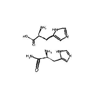 NC(=O)[C@@H](N)Cc1cnc[nH]1.N[C@@H](Cc1cnc[nH]1)C(=O)O